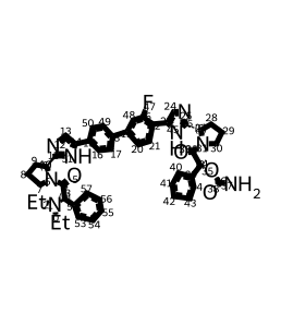 CCN(CC)[C@@H](C(=O)N1CCC[C@H]1c1ncc(-c2ccc(-c3ccc(-c4cnc([C@@H]5CCCN5C(=O)[C@H](OC(N)=O)c5ccccc5)[nH]4)c(F)c3)cc2)[nH]1)c1ccccc1